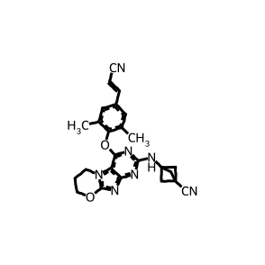 Cc1cc(/C=C/C#N)cc(C)c1Oc1nc(NC23CC(C#N)(C2)C3)nc2nc3n(c12)CCCO3